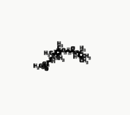 COS(=O)(=O)CCCCNC(C)c1cc(C)c(OCCCC(=O)NCC(C)CC(C)C)cc1N